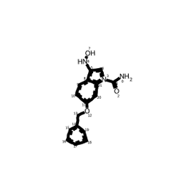 NC(=O)n1cc(NO)c2ccc(OCc3ccccc3)cc21